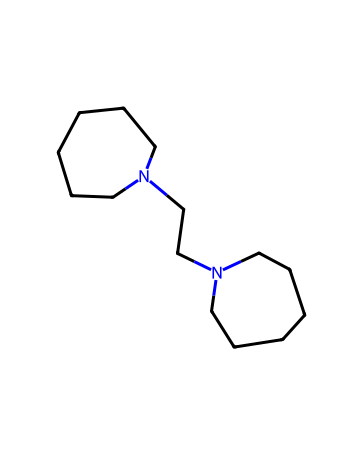 C1CCCN(CCN2CCCCCC2)CC1